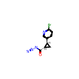 [N-]=[N+]=NC(=O)[C@H]1C[C@@H]1c1ccc(Br)nc1